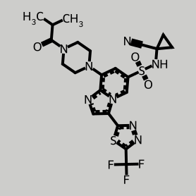 CC(C)C(=O)N1CCN(c2cc(S(=O)(=O)NC3(C#N)CC3)cn3c(-c4nnc(C(F)(F)F)s4)cnc23)CC1